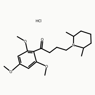 COc1cc(OC)c(C(=O)CCCN2C(C)CCCC2C)c(OC)c1.Cl